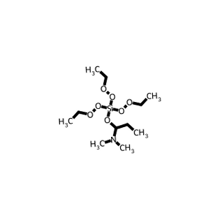 CCOO[Si](OOCC)(OOCC)OC(CC)N(C)C